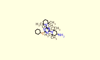 CC1(C)CCCC(C)(C)N1c1nc(SC2CCCCC2)nc(N2C(C)(C)CC(N)CC2(C)C)n1